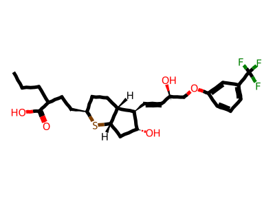 CCCC(CC[C@H]1CC[C@@H]2[C@@H](C=C[C@@H](O)COc3cccc(C(F)(F)F)c3)[C@H](O)C[C@@H]2S1)C(=O)O